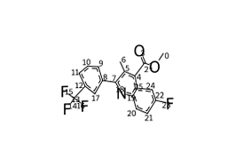 COC(=O)c1c(C)c(-c2cccc(C(F)(F)F)c2)nc2ccc(F)cc12